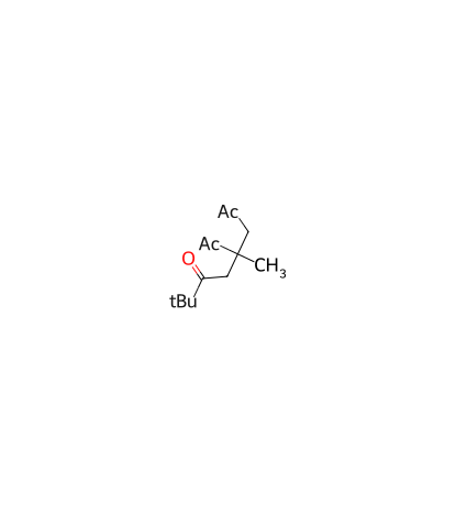 CC(=O)CC(C)(CC(=O)C(C)(C)C)C(C)=O